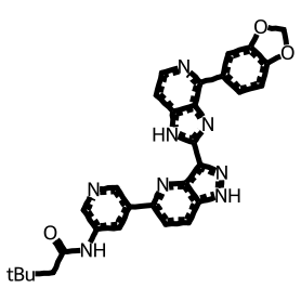 CC(C)(C)CC(=O)Nc1cncc(-c2ccc3[nH]nc(-c4nc5c(-c6ccc7c(c6)OCO7)nccc5[nH]4)c3n2)c1